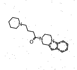 O=C(CCCN1CCCCC1)N1CCn2c(cc3ccccc32)C1